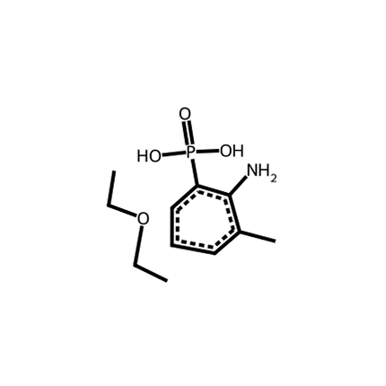 CCOCC.Cc1cccc(P(=O)(O)O)c1N